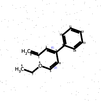 C=C/C=C(\C=C/OCC)c1ccccc1